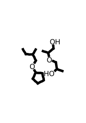 CC(O)COC(C)CO.CCC(C)COC1CCCC1